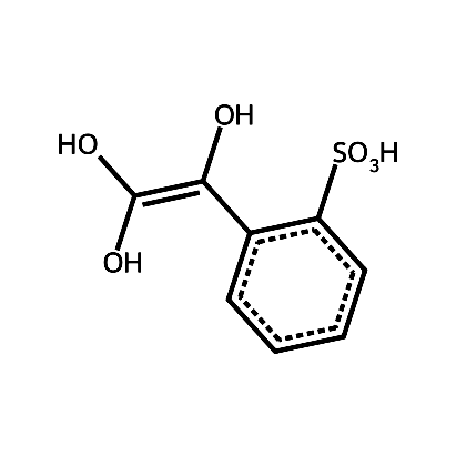 O=S(=O)(O)c1ccccc1C(O)=C(O)O